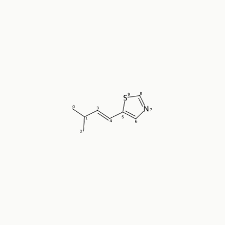 CC(C)/C=C/c1cncs1